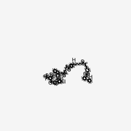 CN(CCN1CCC(OC(=O)Nc2ccccc2-c2ccccc2)CC1)C(=O)CCCCCNc1ccc(C(=O)N(C)CCCN(C)C(=O)CO[C@H]2Cc3ccccc3C23CCN(CC[C@@]2(c4ccc(Cl)c(Cl)c4)CN(C(=O)c4cc(C(F)(F)F)cc(C(F)(F)F)c4)CCO2)CC3)cc1